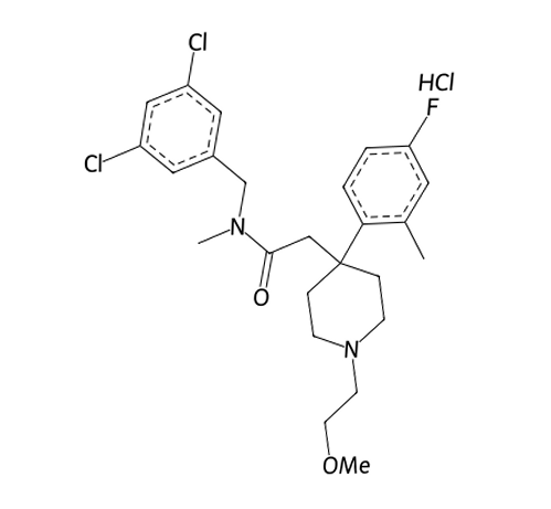 COCCN1CCC(CC(=O)N(C)Cc2cc(Cl)cc(Cl)c2)(c2ccc(F)cc2C)CC1.Cl